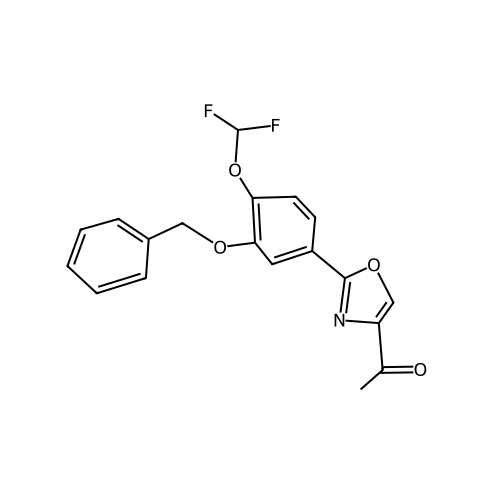 CC(=O)c1coc(-c2ccc(OC(F)F)c(OCc3ccccc3)c2)n1